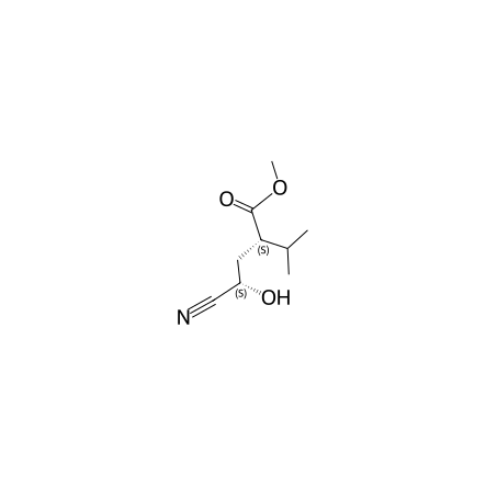 COC(=O)[C@@H](C[C@H](O)C#N)C(C)C